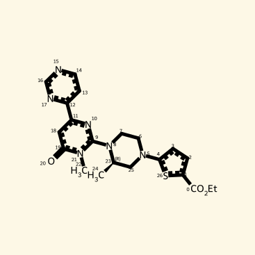 CCOC(=O)c1ccc(N2CCN(c3nc(-c4ccncn4)cc(=O)n3C)[C@H](C)C2)s1